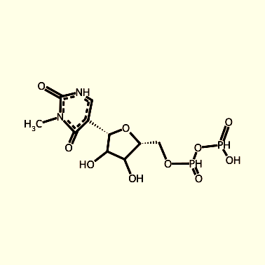 Cn1c(=O)[nH]cc([C@@H]2O[C@H](CO[PH](=O)O[PH](=O)O)C(O)C2O)c1=O